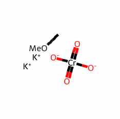 COC.[K+].[K+].[O]=[Cr](=[O])([O-])[O-]